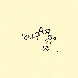 COc1cc(-c2cccc(-c3cccc(-c4ccc(CNC[C@@H]5CCC(=O)N5)c(OC)n4)c3Cl)c2Cl)nc(Cl)c1CNC[C@@H]1CCC(=O)N1